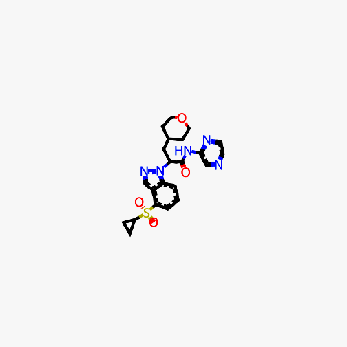 O=C(Nc1cnccn1)C(CC1CCOCC1)n1ncc2c(S(=O)(=O)C3CC3)cccc21